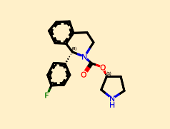 O=C(O[C@H]1CCNC1)N1CCc2ccccc2[C@H]1c1ccc(F)cc1